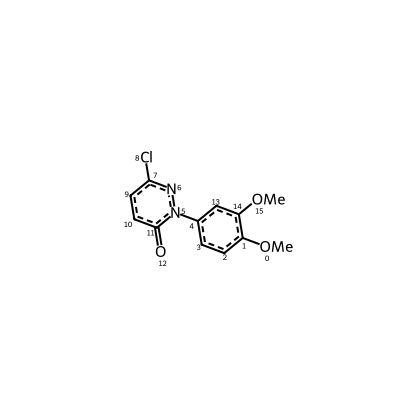 COc1ccc(-n2nc(Cl)ccc2=O)cc1OC